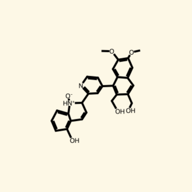 COc1cc2cc(CO)c(CO)c(-c3ccnc(C4C=Cc5c(O)cccc5[NH+]4[O-])c3)c2cc1OC